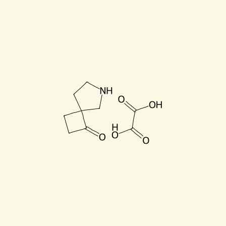 O=C(O)C(=O)O.O=C1CCC12CCNC2